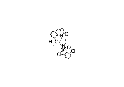 Cc1cccc2c1N(C1CCN(S(=O)(=O)c3c(Cl)cccc3Cl)CC1)C(=O)OC2